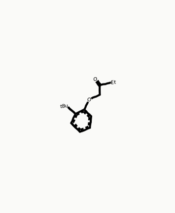 CCC(=O)COc1ccccc1C(C)(C)C